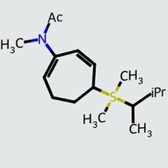 CC(=O)N(C)C1=CCCC(S(C)(C)C(C)C(C)C)C=C1